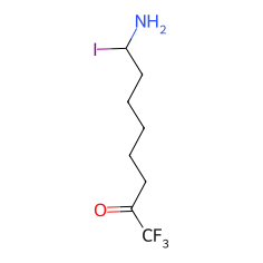 NC(I)CCCCCC(=O)C(F)(F)F